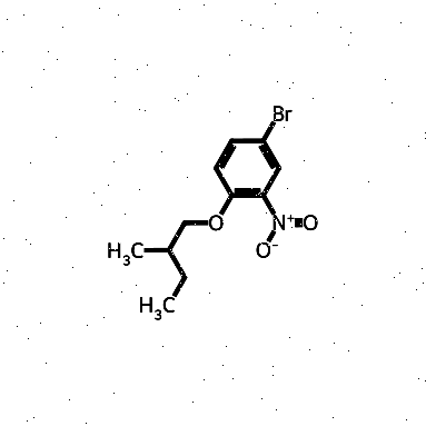 CCC(C)COc1ccc(Br)cc1[N+](=O)[O-]